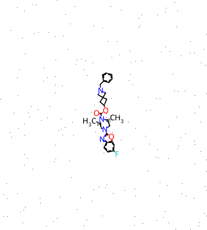 C[C@@H]1CN(c2nc3ccc(F)cc3o2)C[C@@H](C)N1C(=O)OC1CC2(C1)CN(Cc1ccccc1)C2